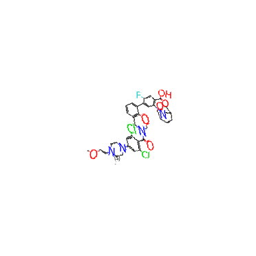 COCCN1CCN(c2cc(Cl)c(C(=O)N3COc4c(cccc4-c4cc(N5CC6CCC5COC6)c(C(=O)O)cc4F)C3)c(Cl)c2)C[C@@H]1C